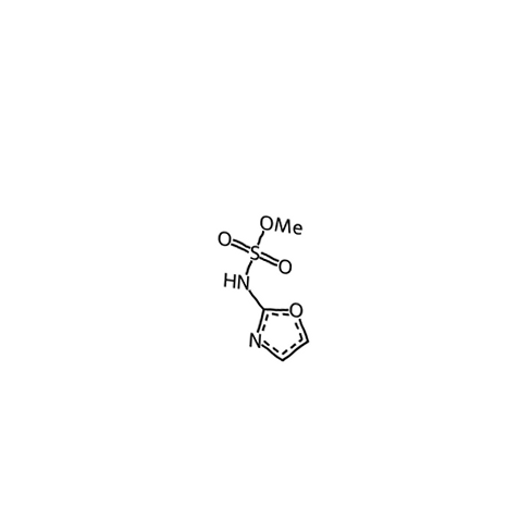 COS(=O)(=O)Nc1ncco1